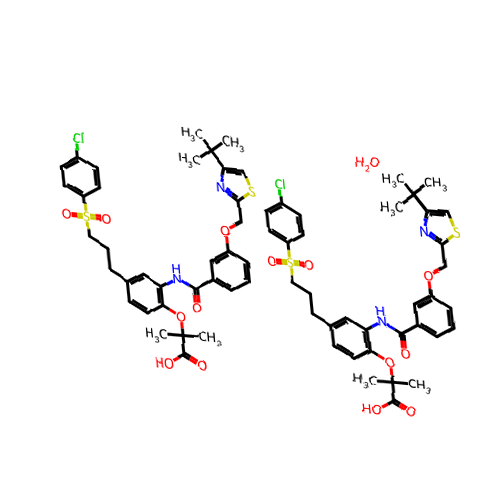 CC(C)(Oc1ccc(CCCS(=O)(=O)c2ccc(Cl)cc2)cc1NC(=O)c1cccc(OCc2nc(C(C)(C)C)cs2)c1)C(=O)O.CC(C)(Oc1ccc(CCCS(=O)(=O)c2ccc(Cl)cc2)cc1NC(=O)c1cccc(OCc2nc(C(C)(C)C)cs2)c1)C(=O)O.O